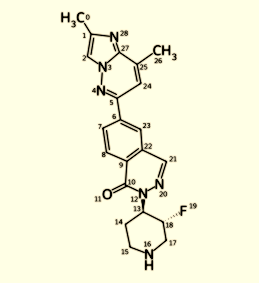 Cc1cn2nc(-c3ccc4c(=O)n([C@@H]5CCNC[C@H]5F)ncc4c3)cc(C)c2n1